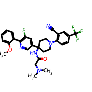 COc1ccccc1-c1ncc(C2(NC(=O)CN(C)C)CCN(c3ccc(C(F)(F)F)cc3C#N)CC2)cc1F